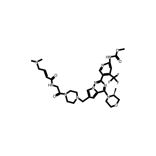 COC(=O)Nc1cc(C(F)(F)F)c(-c2nc(N3CCOC[C@@H]3C)c3cc(CN4CCN(C(=O)CNC(=O)/C=C/CN(C)C)CC4)cn3n2)cn1